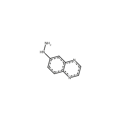 NNc1ccc2nccnc2c1